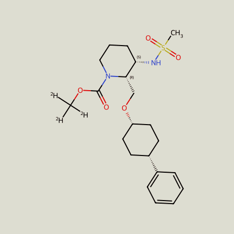 [2H]C([2H])([2H])OC(=O)N1CCC[C@H](NS(C)(=O)=O)[C@@H]1CO[C@H]1CC[C@@H](c2ccccc2)CC1